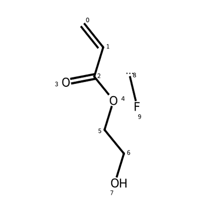 C=CC(=O)OCCO.[C]F